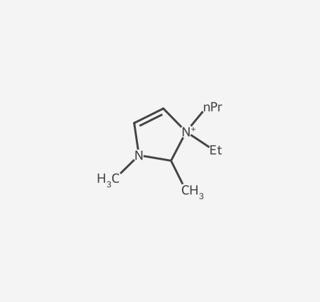 CCC[N+]1(CC)C=CN(C)C1C